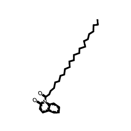 CCCCCCCCCCCCCCCCCCCCCCC(=O)n1c(=O)ccc2ccccc21